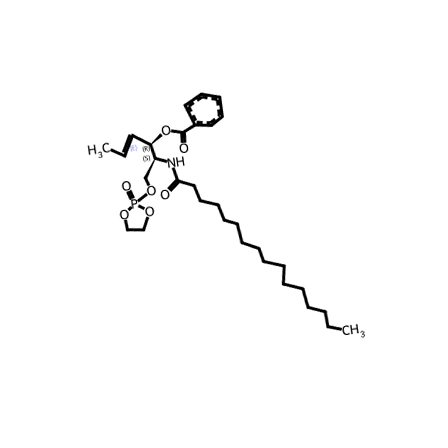 C/C=C/[C@@H](OC(=O)c1ccccc1)[C@H](COP1(=O)OCCO1)NC(=O)CCCCCCCCCCCCCCC